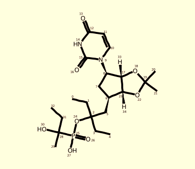 CCC(CC)(C[C@H]1C[C@@H](n2ccc(=O)[nH]c2=O)[C@@H]2OC(C)(C)O[C@H]12)OP(=O)(O)C(C)(O)CC